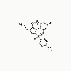 [2H]CCc1cn(S(=O)(=O)c2ccc(C(F)(F)F)nc2)c(-c2c(F)cc(F)cc2F)c1OC